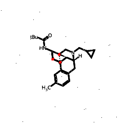 Cc1ccc2c(c1)[C@]13CCN(CC4CC4)[C@H](C2)[C@]12CCC(NC(=O)C(C)(C)C)(CO2)C3